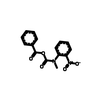 CN(C(=O)OC(=O)c1ccccc1)c1ccccc1[N+](=O)[O-]